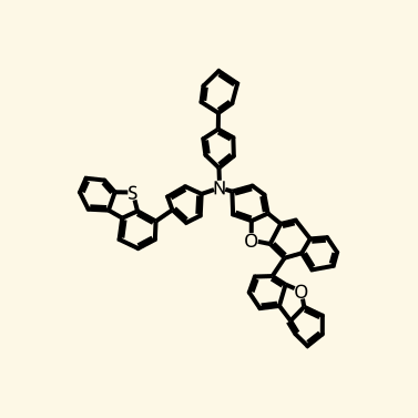 c1ccc(-c2ccc(N(c3ccc(-c4cccc5c4sc4ccccc45)cc3)c3ccc4c(c3)oc3c(-c5cccc6c5oc5ccccc56)c5ccccc5cc34)cc2)cc1